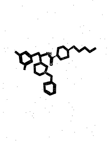 CCCCC[C@H]1CC[C@H](C(=O)NC(Cc2cc(C)cc(C)c2)C2CCCN(Cc3ccccc3)C2)CC1